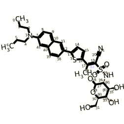 CCCN(CCC)c1ccc2cc(-c3ccc(/C(C)=C(\C#N)S(=O)(=O)N[C@H]4C(O)O[C@H](CO)[C@@H](O)[C@@H]4O)s3)ccc2c1